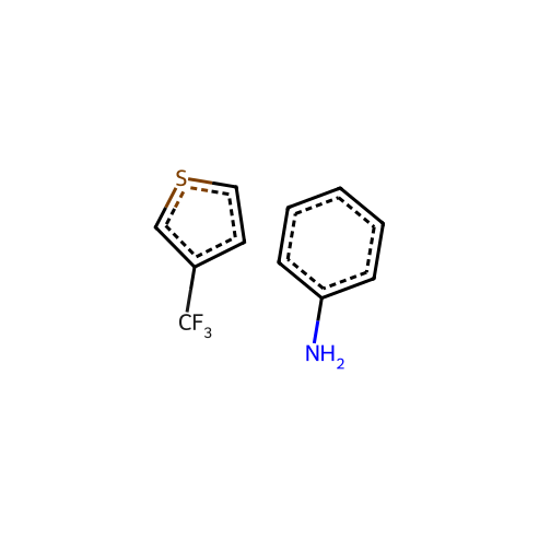 FC(F)(F)c1ccsc1.Nc1ccccc1